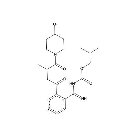 CC(C)COC(=O)NC(=N)c1ccccc1C(=O)CC(C)C(=O)N1CCC([O])CC1